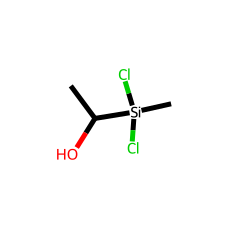 CC(O)[Si](C)(Cl)Cl